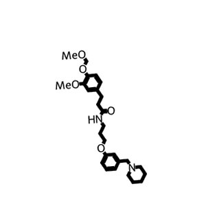 COCOc1ccc(CCC(=O)NCCCOc2cccc(CN3CCCCC3)c2)cc1OC